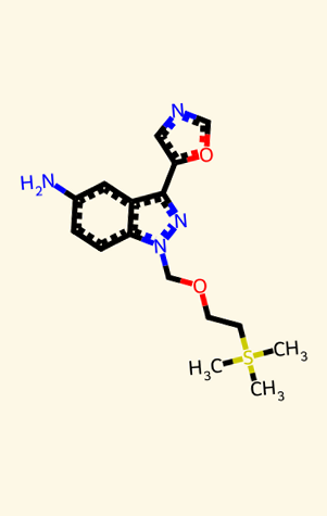 CS(C)(C)CCOCn1nc(-c2cnco2)c2cc(N)ccc21